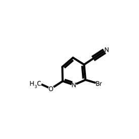 COc1ccc(C#N)c(Br)n1